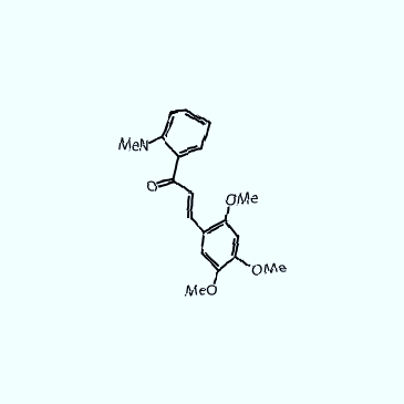 CNc1ccccc1C(=O)C=Cc1cc(OC)c(OC)cc1OC